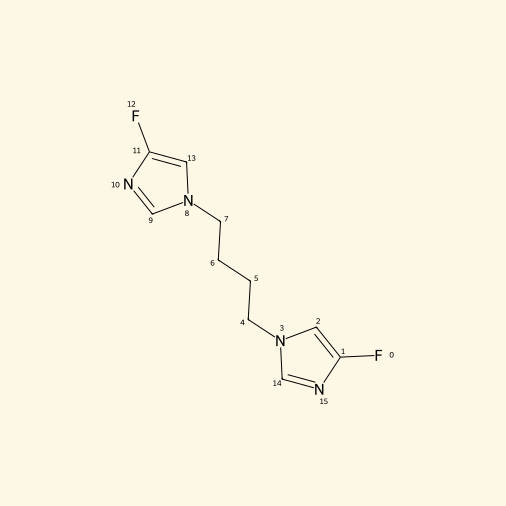 Fc1cn(CCCCn2cnc(F)c2)cn1